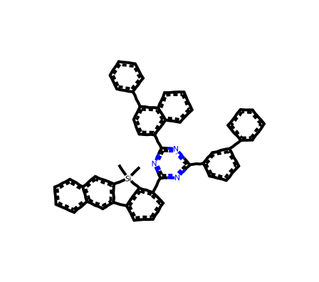 C[Si]1(C)c2cc3ccccc3cc2-c2cccc(-c3nc(-c4cccc(-c5ccccc5)c4)nc(-c4ccc(-c5ccccc5)c5ccccc45)n3)c21